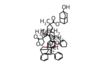 CCC1(OC(=O)C(C)(CC2C3CCC(C3)C2C)CC(C)(CC(C)(CC(C)(C)C(=O)Oc2ccc([S+](c3ccccc3)c3ccccc3)cc2)C(=O)OC2C3CC4CC2CC(O)(C4)C3)C(=O)OC2CCOC2=O)C2CC3CC(C2)CC1C3